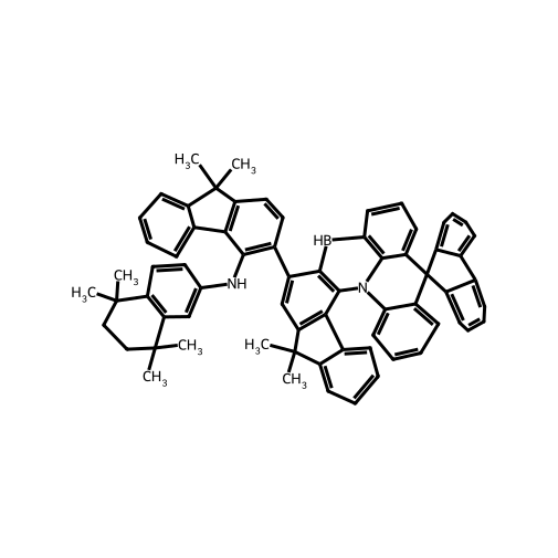 CC1(C)CCC(C)(C)c2cc(Nc3c(-c4cc5c(c6c4Bc4cccc7c4N6c4ccccc4C74c6ccccc6-c6ccccc64)-c4ccccc4C5(C)C)ccc4c3-c3ccccc3C4(C)C)ccc21